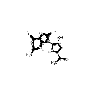 CC(O)[C@@H]1C[C@@H](O)[C@H](n2c(=O)sc3c(=O)[nH]c(N)nc32)O1